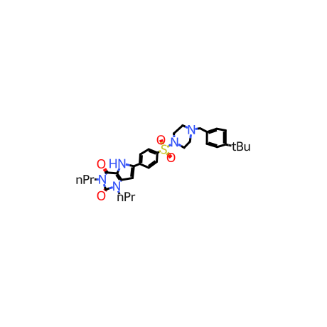 CCCn1c(=O)c2[nH]c(-c3ccc(S(=O)(=O)N4CCN(Cc5ccc(C(C)(C)C)cc5)CC4)cc3)cc2n(CCC)c1=O